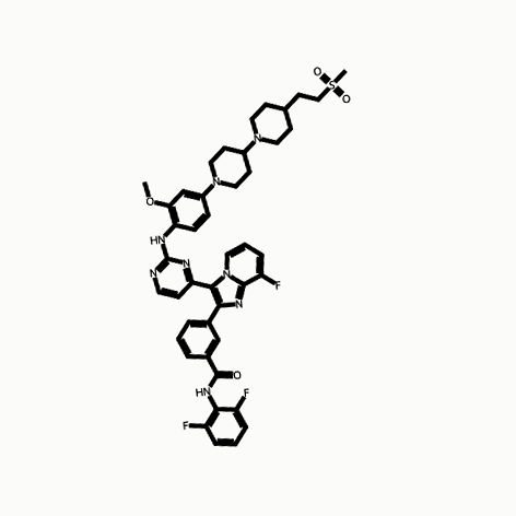 COc1cc(N2CCC(N3CCC(CCS(C)(=O)=O)CC3)CC2)ccc1Nc1nccc(-c2c(-c3cccc(C(=O)Nc4c(F)cccc4F)c3)nc3c(F)cccn23)n1